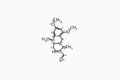 COc1cc(OC)c(CN2CCNC(C=O)C2C)c(OC)c1